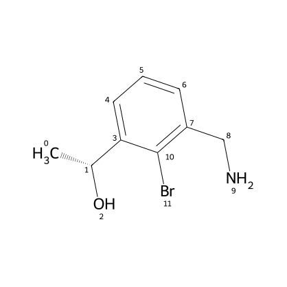 C[C@@H](O)c1cccc(CN)c1Br